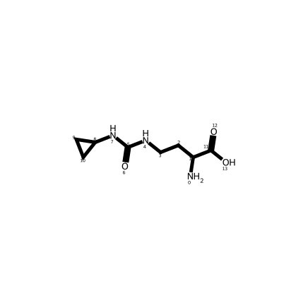 NC(CCNC(=O)NC1CC1)C(=O)O